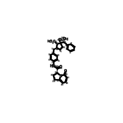 CC(C)(C)[C@@]1([C@H](O)c2ccccc2)CC[C@@H](Cc2ccc(NC(=O)[C@H]3CCc4cccc(=O)n43)cc2)N1C(=O)O